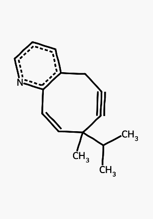 CC(C)C1(C)C#CCc2cccnc2/C=C\1